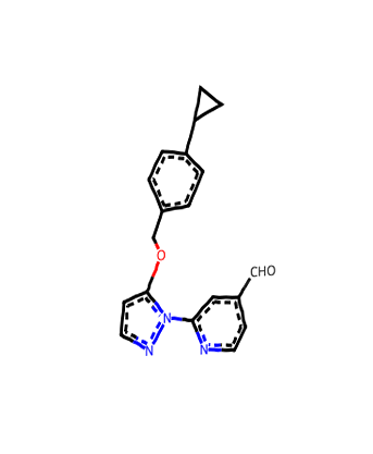 O=Cc1ccnc(-n2nccc2OCc2ccc(C3CC3)cc2)c1